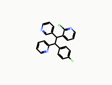 Fc1ccc(C(c2ccccn2)C(c2cccnc2)c2cccnc2Cl)cc1